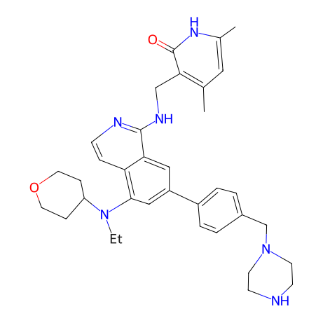 CCN(c1cc(-c2ccc(CN3CCNCC3)cc2)cc2c(NCc3c(C)cc(C)[nH]c3=O)nccc12)C1CCOCC1